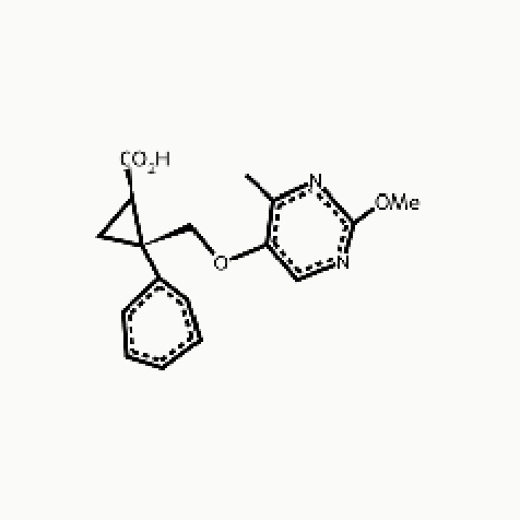 COc1ncc(OC[C@@]2(c3ccccc3)C[C@H]2C(=O)O)c(C)n1